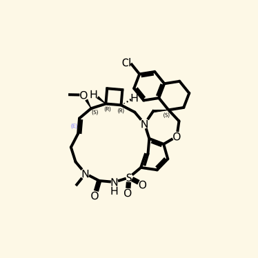 CO[C@@H]1/C=C/CCN(C)C(=O)NS(=O)(=O)c2ccc3c(c2)N(C[C@@H]2CC[C@H]21)C[C@@]1(CCCc2cc(Cl)ccc21)CO3